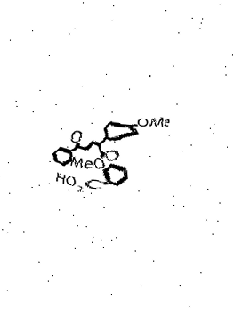 COC(=O)C(/C=C/C(=O)c1ccccc1)c1ccc(OC)cc1.O=C(O)c1ccccc1